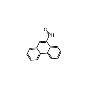 O=[PH]c1cc2ccccc2c2ccccc12